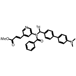 [2H]C(c1ccc(-c2ccc(N(C)C)cc2)cc1)N(C(=O)c1ccccc1)c1cncc(/C=C/C(=O)OC)c1